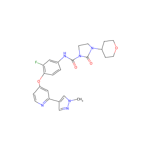 Cn1cc(-c2cc(Oc3ccc(NC(=O)N4CCN(C5CCOCC5)C4=O)cc3F)ccn2)cn1